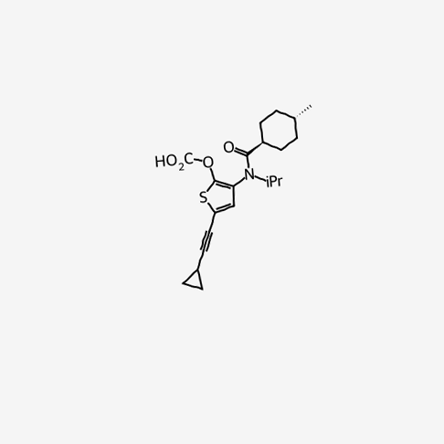 CC(C)N(c1cc(C#CC2CC2)sc1OC(=O)O)C(=O)[C@H]1CC[C@H](C)CC1